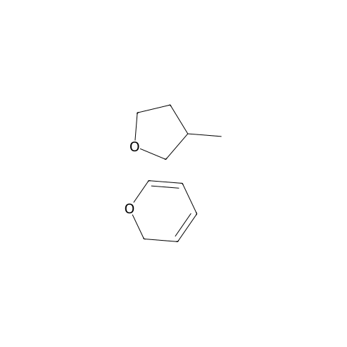 C1=CCOC=C1.CC1CCOC1